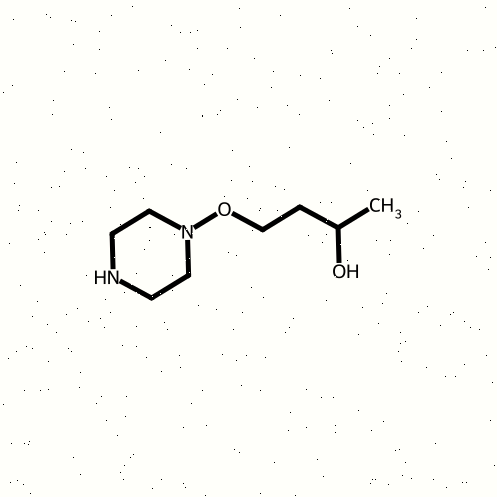 CC(O)CCON1CCNCC1